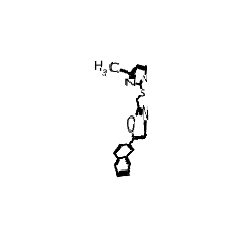 Cc1ccnc(SCc2ncc(-c3ccc4ccccc4c3)o2)n1